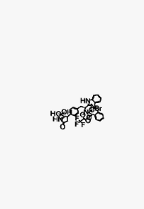 O=C1CC(c2ccc(C[C@@H](c3nc4ccccc4[nH]3)N(OC(=O)C(F)(F)F)S(=O)(=O)c3ccccc3Br)cc2)S(O)(O)N1